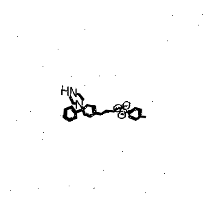 Cc1ccc(S(=O)(=O)OCCCC2=CCC(c3ccccc3)(N3CCNCC3)C=C2)cc1